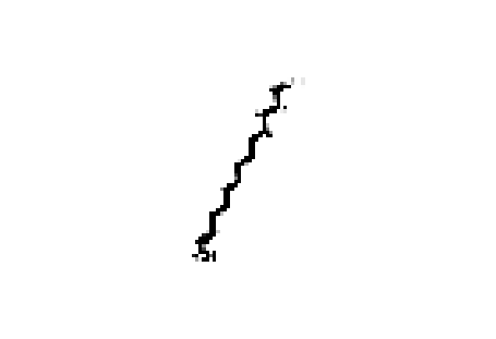 O/C=C/CCCCCCCCCCCO